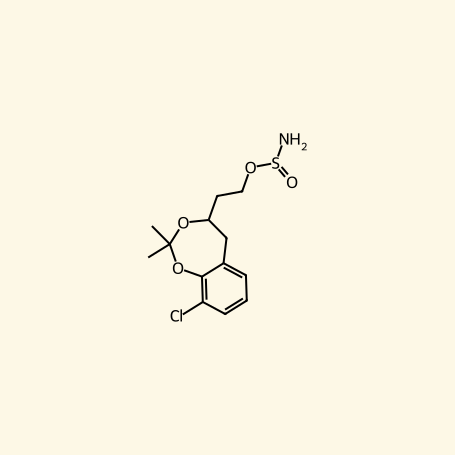 CC1(C)Oc2c(Cl)cccc2CC(CCOS(N)=O)O1